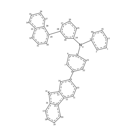 c1ccc(N(c2ccc(-c3ccc4c(c3)sc3ccccc34)cc2)c2cccc(-c3cccc4ccccc34)c2)cc1